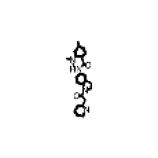 Cc1ccc(C(=O)Nc2ccc3c(c2)CCN3C(=O)Cc2ccccn2)c(N(C)C)c1